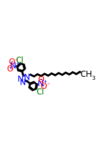 CCCCCCCCCCCCCCCCn1c(-c2ccc(Cl)c([N+](=O)[O-])c2)nnc1-c1ccc(Cl)c([N+](=O)[O-])c1